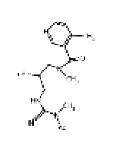 CCCC(CNC(=N)N(C)C(C)=O)CN(C)C(=O)c1cnccc1C